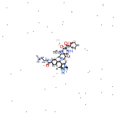 CCCCN1C(=O)[C@@H]([C@H](O)C2CCCCC2)NC(=O)C12CCN(C(c1ccc(C(=O)NCCN(C)C)cc1)c1c(C)n[nH]c1C)CC2.Cl